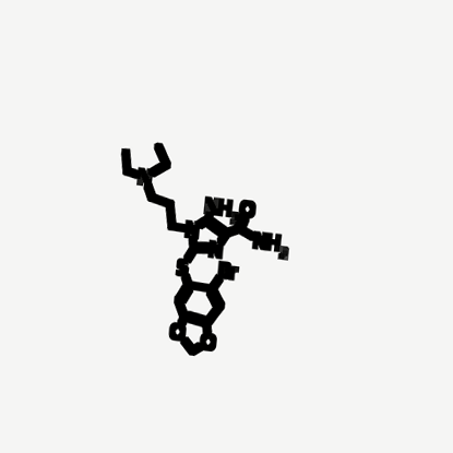 CCN(CC)CCCn1c(Sc2cc3c(cc2Br)OCO3)nc(C(N)=O)c1N